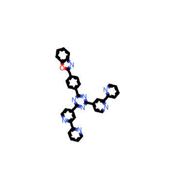 c1ccc(-c2cc(-c3nc(-c4ccc(-c5nc6ccccc6o5)cc4)nc(-c4ccnc(-c5ccccn5)c4)n3)ccn2)nc1